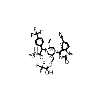 CC[C@H]1CN(C(C(=O)NOC)c2ccc(C(F)(F)F)cc2)[C@H](CC)CN1c1nc(=O)n(C)c2ccc(C#N)nc12.O=C(O)C(F)(F)F